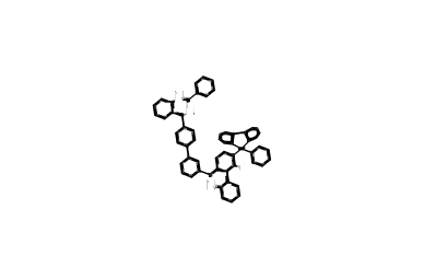 c1ccc(-c2nc(-c3ccc(-c4cccc(-c5nc6ccccc6c6c7c(ccc56)C5(c6ccccc6O7)c6ccccc6-c6ccccc65)c4)cc3)c3ccccc3n2)cc1